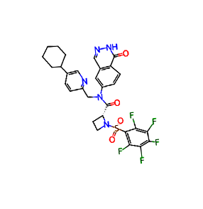 O=C([C@H]1CCN1S(=O)(=O)c1c(F)c(F)c(F)c(F)c1F)N(Cc1ccc(C2CCCCC2)cn1)c1ccc2c(=O)[nH]ncc2c1